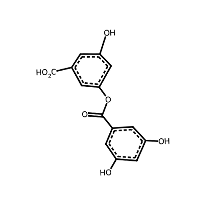 O=C(O)c1cc(O)cc(OC(=O)c2cc(O)cc(O)c2)c1